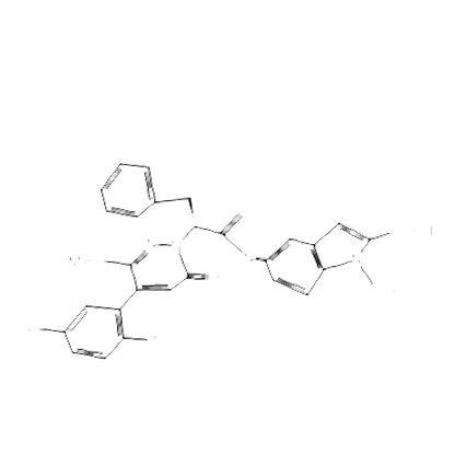 COc1nn([C@@H](Cc2ccccc2)C(=O)Nc2ccc3c(c2)cc(C(=O)O)n3C(=O)O)c(=O)cc1-c1cc(Cl)ccc1C(C)=O